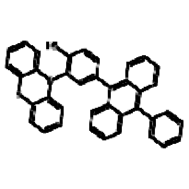 Sc1ccc(-c2c3ccccc3c(-c3ccccc3)c3ccccc23)cc1B1c2ccccc2Sc2ccccc21